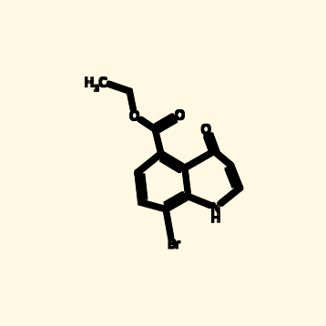 CCOC(=O)c1ccc(Br)c2[nH]ccc(=O)c12